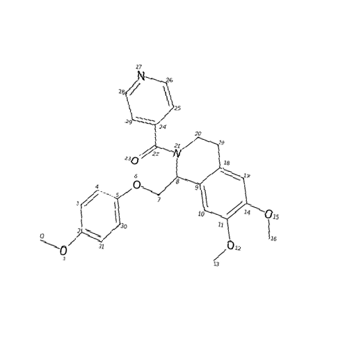 COc1ccc(OCC2c3cc(OC)c(OC)cc3CCN2C(=O)c2ccncc2)cc1